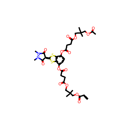 C=CC(=O)OCC(C)(C)COC(=O)CCC(=O)Oc1ccc(OC(=O)CCC(=O)OCC(C)(C)COC(C)=O)c2c1SC(=C1C(=O)N(C)N(C)C1=O)S2